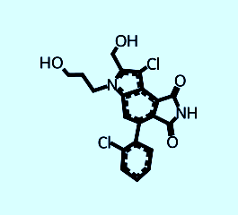 O=C1NC(=O)c2c1c(-c1ccccc1Cl)cc1c2c(Cl)c(CO)n1CCCO